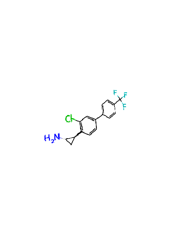 N[C@H]1C[C@@H]1c1ccc(-c2ccc(C(F)(F)F)cc2)cc1Cl